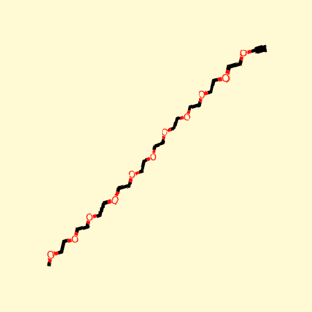 C#COCCOCCOCCOCCOCCOCCOCCOCCOCCOCCOC